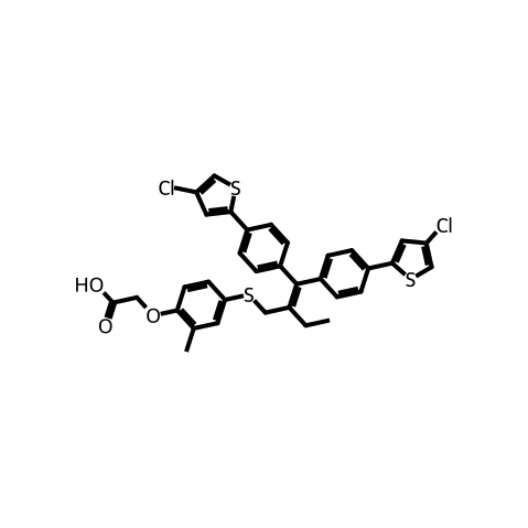 CCC(CSc1ccc(OCC(=O)O)c(C)c1)=C(c1ccc(-c2cc(Cl)cs2)cc1)c1ccc(-c2cc(Cl)cs2)cc1